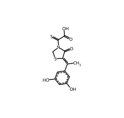 CC(=C1SCN(C(=S)C(=O)O)C1=O)c1cc(O)cc(O)c1